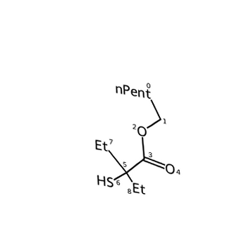 CCCCCCOC(=O)C(S)(CC)CC